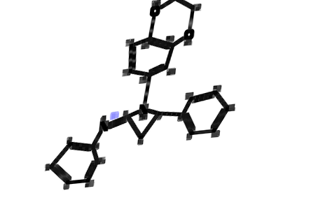 c1ccc(/N=C2\CC(c3ccccc3)N2c2ccc3c(c2)OCCO3)cc1